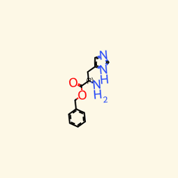 N[C@H](Cc1cnc[nH]1)C(=O)OCc1ccccc1